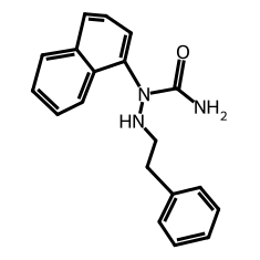 NC(=O)N(NCCc1ccccc1)c1cccc2ccccc12